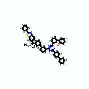 CC1(C)c2cc(-c3cccc(-c4nc(-c5ccc(-c6ccccc6)cc5)nc(-c5cccc6c5oc5ccccc56)n4)c3)ccc2-c2cc3nc(-c4ccccc4)sc3cc21